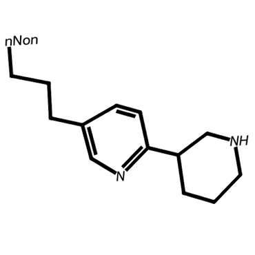 CCCCCCCCCCCCc1ccc(C2CCCNC2)nc1